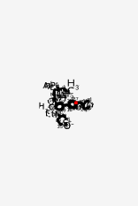 CCCC(C)(CC(C)=N)C(CNC(=O)c1cc(-c2ccc(C[N+]3(O)CCOCC3)cc2)cc(N(CC)C2CC[S+]([O-])CC2)c1C)C(C)=O